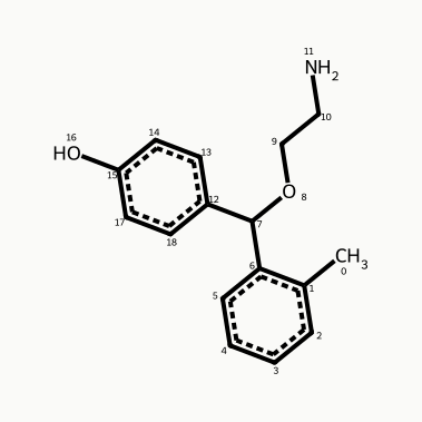 Cc1ccccc1C(OCCN)c1ccc(O)cc1